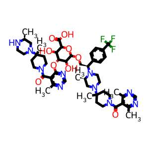 Cc1ncnc(C)c1C(=O)N1CCC(C)(N2CCN([C@@H](COC3OC(C(=O)O)C(O)C(Oc4ncnc(C)c4C(=O)N4CCC(C)(N5CCN[C@@H](C)C5)CC4)C3O)c3ccc(C(F)(F)F)cc3)[C@@H](C)C2)CC1